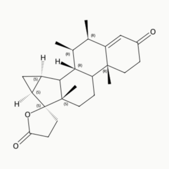 C[C@@H]1[C@@H]2C(CC[C@@]3(C)C2[C@@H]2C[C@@H]2[C@@]32CCC(=O)O2)[C@@]2(C)CCC(=O)C=C2[C@@H]1C